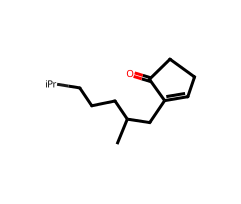 CC(C)CCCC(C)CC1=CCCC1=O